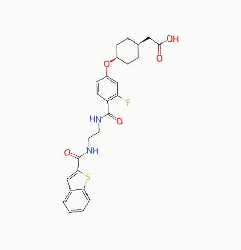 O=C(O)C[C@H]1CC[C@@H](Oc2ccc(C(=O)NCCNC(=O)c3cc4ccccc4s3)c(F)c2)CC1